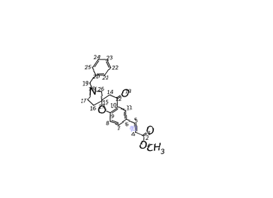 COC(=O)/C=C/c1ccc2c(c1)C(=O)CC1(CCN(Cc3ccccc3)C1)O2